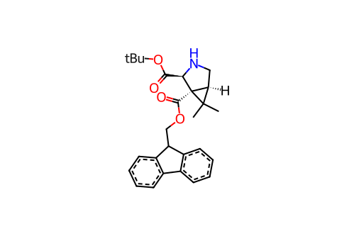 CC(C)(C)OC(=O)[C@H]1NC[C@H]2C(C)(C)[C@@]12C(=O)OCC1c2ccccc2-c2ccccc21